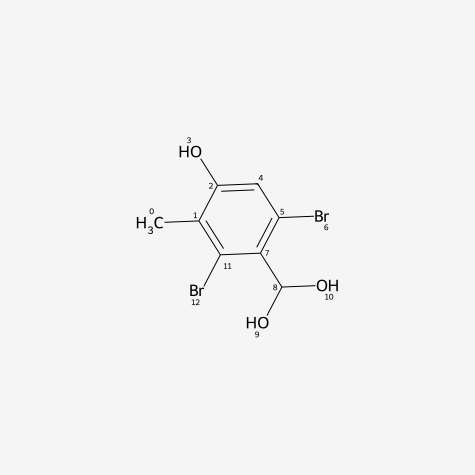 Cc1c(O)cc(Br)c(C(O)O)c1Br